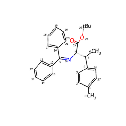 Cc1ccc(C(C)[C@H](N=C(c2ccccc2)c2ccccc2)C(=O)OC(C)(C)C)cc1